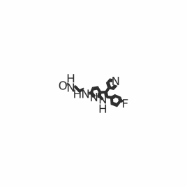 O=CNCCCNc1ccc2c(-c3ccncc3)c(-c3ccc(F)cc3)[nH]c2n1